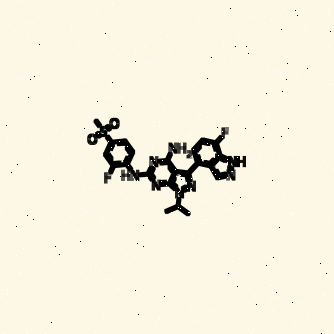 CC(C)n1nc(-c2ccc(F)c3[nH]ncc23)c2c(N)nc(Nc3ccc(S(C)(=O)=O)cc3F)nc21